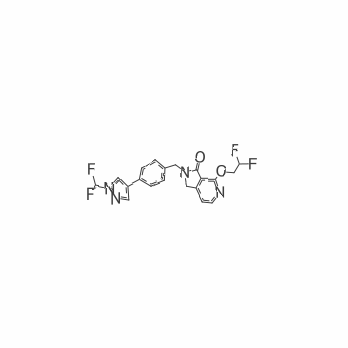 O=C1c2c(ccnc2OCC(F)F)CN1Cc1ccc(-c2cnn(C(F)F)c2)cc1